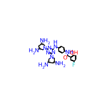 N[C@@H]1C[C@H](N)CN(c2nc(Nc3ccc(NC(=O)c4cc(F)ccc4O)cc3)nc(N3C[C@H](N)C[C@H](N)C3)n2)C1